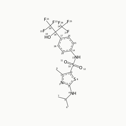 Cc1nc(NC(C)C)sc1S(=O)(=O)Nc1ccc(C(O)(C(F)(F)F)C(F)(F)F)cc1